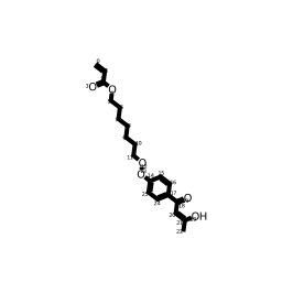 C=CC(=O)OCCCCCCCOOc1ccc(C(=O)/C=C(/C)O)cc1